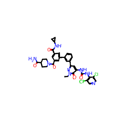 CCn1nc(-c2cccc(-c3cc(C(=O)NC4CC4)cc(C(=O)N4CCC(C(N)=O)CC4)c3)c2)cc(NC(=O)Nc2c(Cl)cncc2Cl)c1=O